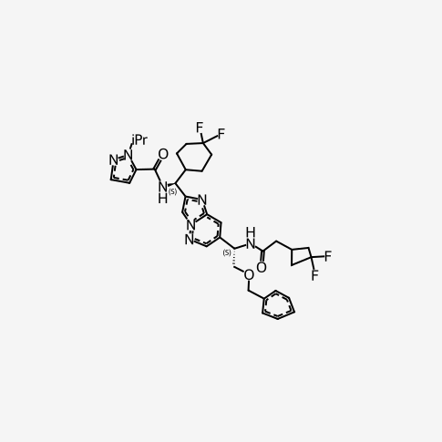 CC(C)n1nccc1C(=O)N[C@H](c1cn2ncc([C@@H](COCc3ccccc3)NC(=O)CC3CC(F)(F)C3)cc2n1)C1CCC(F)(F)CC1